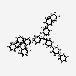 c1ccc(-c2ccc(-c3ccc(N(c4ccc(-c5cccc(-c6ccccc6-n6c7ccccc7c7ccccc76)c5)cc4)c4ccc(-c5ccc6ccccc6c5)cc4)cc3)cc2)cc1